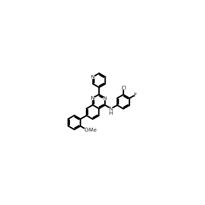 COc1ccccc1-c1ccc2c(Nc3ccc(F)c(Cl)c3)nc(-c3cccnc3)nc2c1